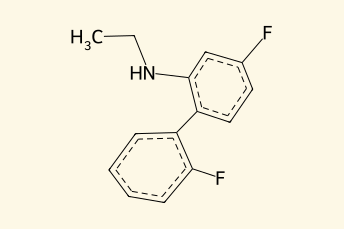 CCNc1cc(F)ccc1-c1ccccc1F